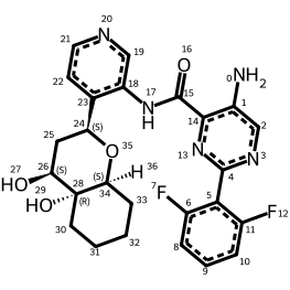 Nc1cnc(-c2c(F)cccc2F)nc1C(=O)Nc1cnccc1[C@@H]1C[C@H](O)[C@]2(O)CCCC[C@@H]2O1